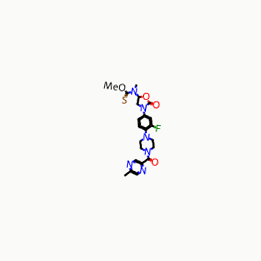 COC(=S)N(C)C1CN(c2ccc(N3CCN(C(=O)c4cnc(C)cn4)CC3)c(F)c2)C(=O)O1